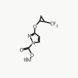 CC(C)(C)OC(=O)n1ccc(OC2CC2C(F)(F)F)n1